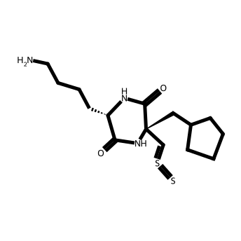 NCCCC[C@@H]1NC(=O)[C@@](C=S=S)(CC2CCCC2)NC1=O